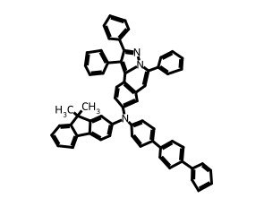 CC1(C)c2ccccc2-c2ccc(N(c3ccc(-c4ccc(-c5ccccc5)cc4)cc3)c3ccc4c(c3)cc(-c3ccccc3)n3nc(-c5ccccc5)c(-c5ccccc5)c43)cc21